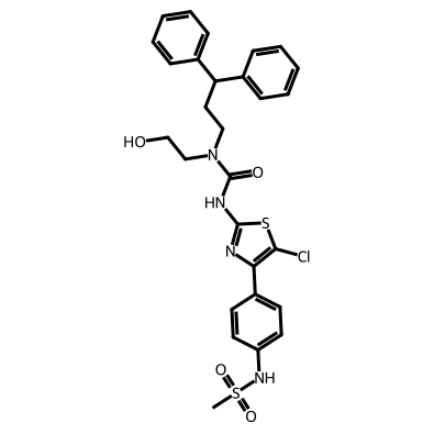 CS(=O)(=O)Nc1ccc(-c2nc(NC(=O)N(CCO)CCC(c3ccccc3)c3ccccc3)sc2Cl)cc1